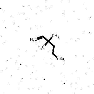 C=CC(C)(C)CCCCCC